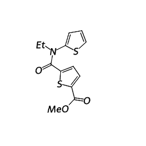 CCN(C(=O)c1ccc(C(=O)OC)s1)c1cccs1